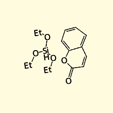 CCO[SiH](OCC)OCC.O=c1ccc2ccccc2o1